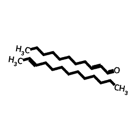 CC=CCCCCCCCCCC.CCCCCCCCC=CC=O